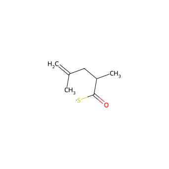 C=C(C)CC(C)C(=O)[S]